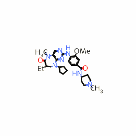 CCC1CN(C2CCCC2)c2nc(Nc3ccc(C(=O)NC4CCN(C)CC4)cc3OC)ncc2N(C)C1=O